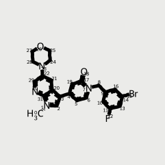 Cn1cc(-c2ccn(Cc3cc(F)cc(Br)c3)c(=O)c2)c2cc(N3CCOCC3)cnc21